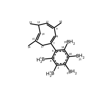 Bc1c(B)c(B)c(/C2=C/C(C)=C\C(C)/C=C(\C)C2)c(B)c1B